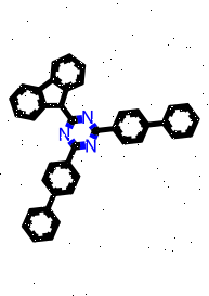 c1ccc(-c2ccc(-c3nc(-c4ccc(-c5ccccc5)cc4)nc(C4c5ccccc5-c5ccccc54)n3)cc2)cc1